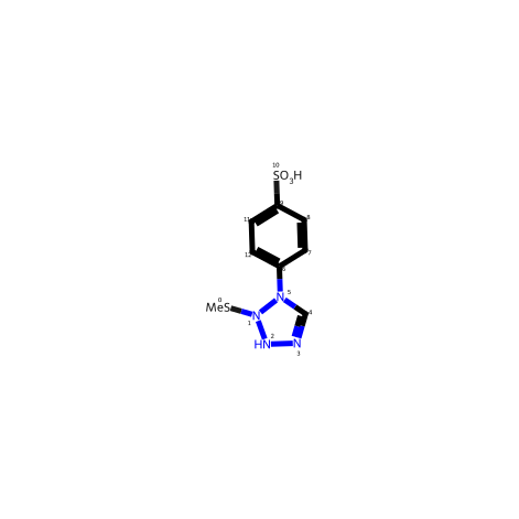 CSN1NN=CN1c1ccc(S(=O)(=O)O)cc1